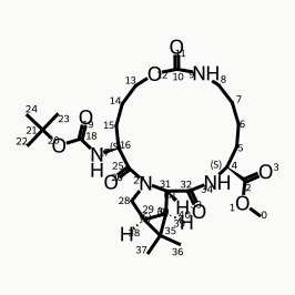 COC(=O)[C@@H]1CCCCNC(=O)OCCC[C@H](NC(=O)OC(C)(C)C)C(=O)N2C[C@H]3[C@@H]([C@H]2C(=O)N1)C3(C)C